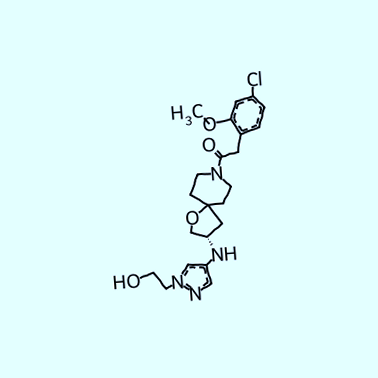 COc1cc(Cl)ccc1CC(=O)N1CCC2(CC1)C[C@H](Nc1cnn(CCO)c1)CO2